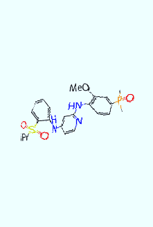 COc1cc(P(C)(C)=O)ccc1Nc1cc(Nc2ccccc2S(=O)(=O)C(C)C)ccn1